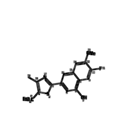 CCOC(=O)c1sc(-c2cc(O)c3cc(F)c(OC)cc3c2)nc1C